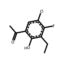 CCc1c(O)c(C(C)=O)cc(Cl)c1F